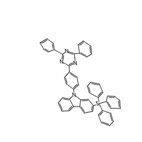 c1ccc(-c2nc(-c3ccccc3)nc(-c3ccc(-n4c5ccccc5c5ccc([Si](c6ccccc6)(c6ccccc6)c6ccccc6)cc54)cc3)n2)cc1